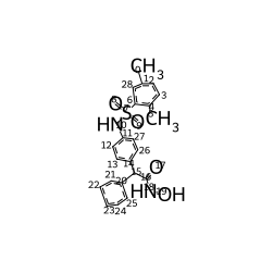 Cc1ccc(C)c(S(=O)(=O)Nc2ccc(C(C(=O)NO)c3ccccc3)cc2)c1